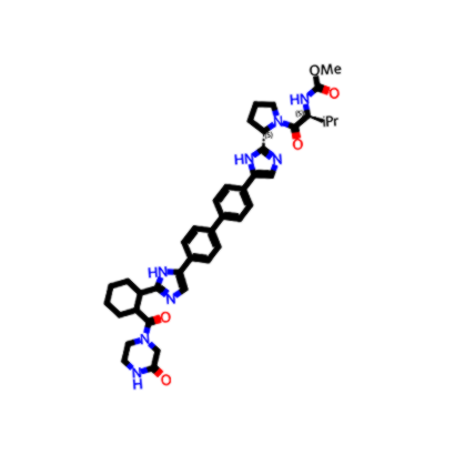 COC(=O)N[C@H](C(=O)N1CCC[C@H]1c1ncc(-c2ccc(-c3ccc(-c4cnc(C5CCCCC5C(=O)N5CCNC(=O)C5)[nH]4)cc3)cc2)[nH]1)C(C)C